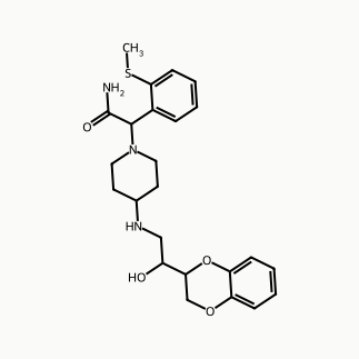 CSc1ccccc1C(C(N)=O)N1CCC(NCC(O)C2COc3ccccc3O2)CC1